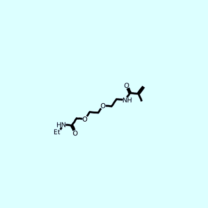 C=C(C)C(=O)NCCOCCOCC(=O)NCC